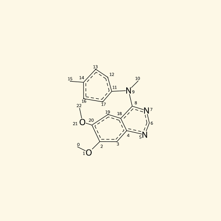 COc1cc2ncnc(N(C)c3ccc(C)cc3)c2cc1OC